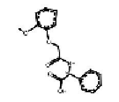 COc1ccccc1OCC(=O)N[C@H](C(=O)O)c1ccccc1